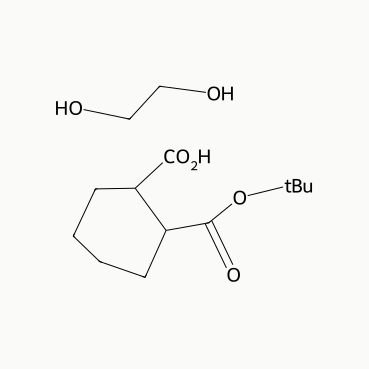 CC(C)(C)OC(=O)C1CCCCC1C(=O)O.OCCO